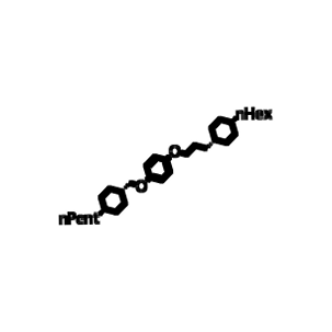 CCCCCC[C@H]1CC[C@H](CCCOc2ccc(OC[C@H]3CC[C@H](CCCCC)CC3)cc2)CC1